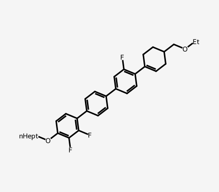 CCCCCCCOc1ccc(-c2ccc(-c3ccc(C4=CCC(COCC)CC4)c(F)c3)cc2)c(F)c1F